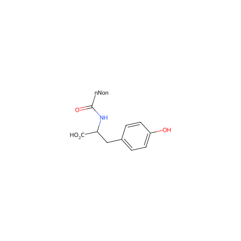 CCCCCCCCCC(=O)NC(Cc1ccc(O)cc1)C(=O)O